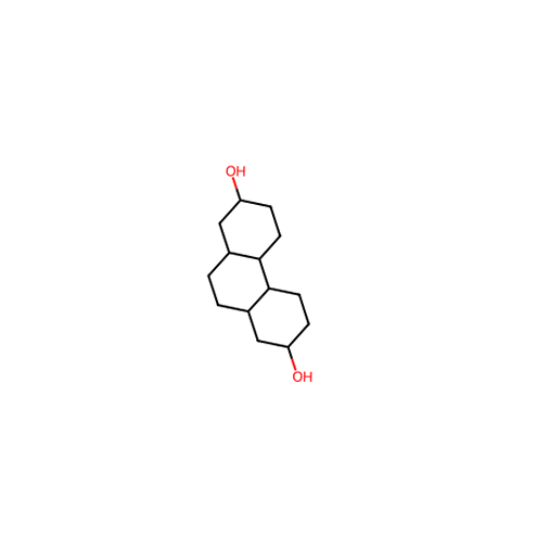 OC1CCC2C(CCC3CC(O)CCC32)C1